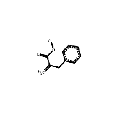 C=C(Cc1ccccc1)C(=O)OCl